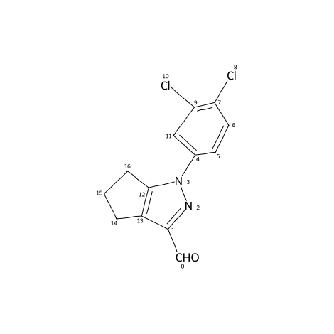 O=Cc1nn(-c2ccc(Cl)c(Cl)c2)c2c1CCC2